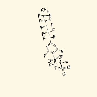 O=S(=O)(F)C(F)(F)C(F)(F)S(=O)(=O)c1c(F)cc(C(F)(F)C(F)(F)C(F)(F)C(F)(F)C(F)(F)C(F)(F)F)cc1F